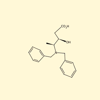 C[C@@H]([C@H](O)CC(=O)O)N(Cc1ccccc1)Cc1ccccc1